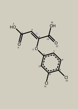 O=C(O)/C=C(\Oc1ccc(Cl)c(Cl)c1)C(=O)O